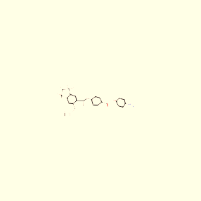 CC(=Cc1ccc(C(=O)Oc2ccc(N)cc2)cc1)c1cc2c(cc1CC(C)C)C(C)(C)C(C)C2(C)C